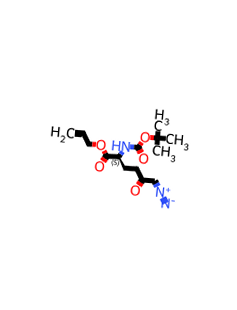 C=CCOC(=O)[C@H](CCC(=O)C=[N+]=[N-])NC(=O)OC(C)(C)C